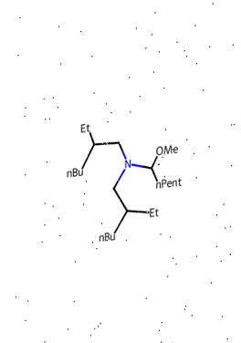 CCCCCC(OC)N(CC(CC)CCCC)CC(CC)CCCC